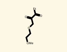 CCC(=O)C(=O)COCCOC